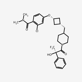 CN(C)C(=O)c1ccc(O[C@H]2C[C@@H](CC3CCN(C(=O)[C@](O)(c4ccccc4)C(F)(F)F)CC3)C2)cc1Cl